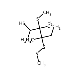 CCC(C)(SSC)C(C)(SC)C(C)S